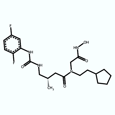 C[C@H](CNC(=O)Nc1cc(F)ccc1F)CC(=O)N(CCC1CCCC1)CC(=O)NO